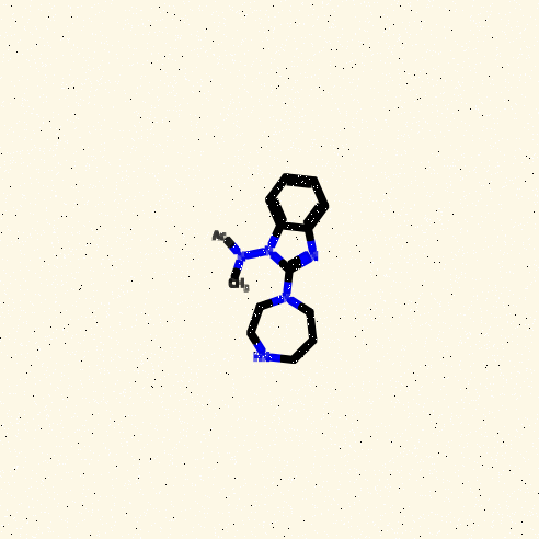 CC(=O)N(C)n1c(N2CCCNCC2)nc2ccccc21